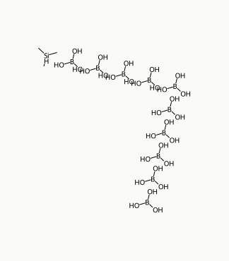 C[SiH](C)C.OB(O)O.OB(O)O.OB(O)O.OB(O)O.OB(O)O.OB(O)O.OB(O)O.OB(O)O.OB(O)O.OB(O)O